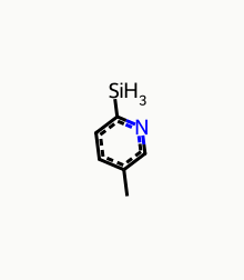 Cc1ccc([SiH3])nc1